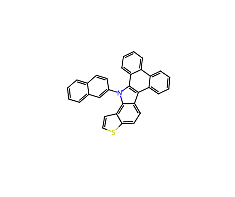 c1ccc2cc(-n3c4c5ccsc5ccc4c4c5ccccc5c5ccccc5c43)ccc2c1